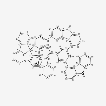 c1ccc2c(c1)-c1ccccc1C21c2ccccc2-c2cc(-c3ccc4oc5cccc(-c6nc(-c7cccc8oc9ccccc9c78)nc(-c7cccc8sc9ccccc9c78)n6)c5c4c3)ccc21